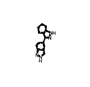 [c]1ccc2[nH]nc(-c3ccc4n[nH]cc4c3)c2c1